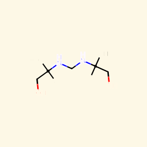 CC(C)(CO)NCNC(C)(C)CO